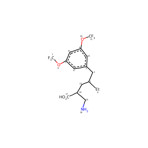 CCC(Cc1cc(OC(F)(F)F)cc(OC(F)(F)F)c1)CC(CN)C(=O)O